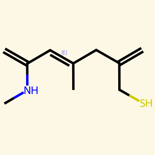 C=C(CS)C/C(C)=C/C(=C)NC